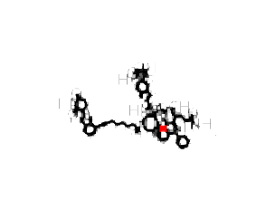 CN(C(=O)[C@@H]1CC[C@@H]2CCN(C(=O)CCCCCC#Cc3cccc4c3CN(C3CCC(=O)NC3=O)C4=O)C[C@H](NC(=O)c3cc4cc(C(F)(F)P(=O)(O)O)ccc4s3)C(=O)N21)C(CCC(N)=O)C(=O)NC(c1ccccc1)c1ccccc1